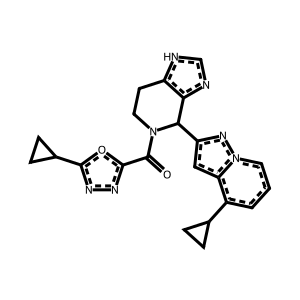 O=C(c1nnc(C2CC2)o1)N1CCc2[nH]cnc2C1c1cc2c(C3CC3)cccn2n1